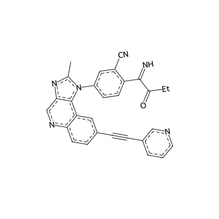 CCC(=O)C(=N)c1ccc(-n2c(C)nc3cnc4ccc(C#Cc5cccnc5)cc4c32)cc1C#N